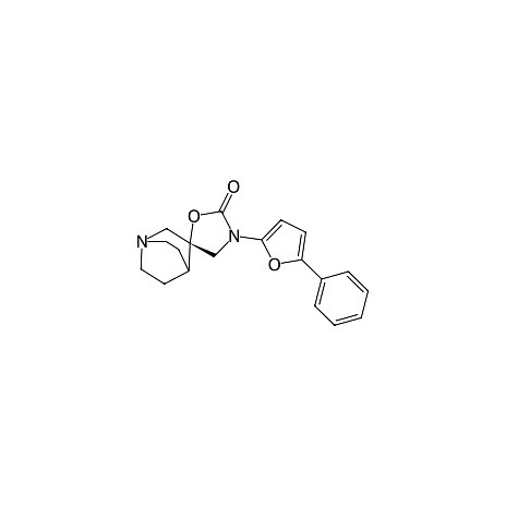 O=C1O[C@]2(CN3CCC2CC3)CN1c1ccc(-c2ccccc2)o1